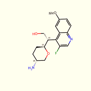 COc1ccc2ncc(F)c([C@@H](CO)[C@@H]3CC[C@@H](N)CO3)c2c1